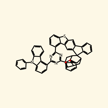 c1ccc(-c2nc(-c3cccc4sc5cc6c(cc5c34)C3(c4ccccc4-6)C4CC5CC(C4)CC3C5)nc(-c3cccc4c3c3ccccc3n4-c3ccccc3)n2)cc1